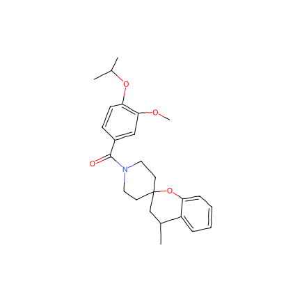 COc1cc(C(=O)N2CCC3(CC2)CC(C)c2ccccc2O3)ccc1OC(C)C